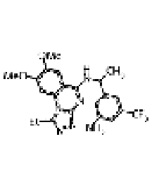 CCc1nnc2nc(NC(C)c3cc(N)cc(C(F)(F)F)c3)c3cc(OC)c(OC)cc3n12